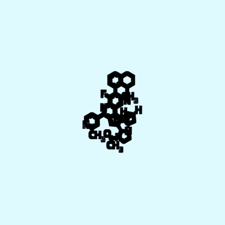 CC(=O)N1CCC[C@@H]1c1cc2c(-c3ccnc(C)c3)nc3c(F)c(-c4cccc5c4C(C#N)CCC5)c(C)cc3c2n1[C@H]1[C@H]2CN[C@@H]1C2